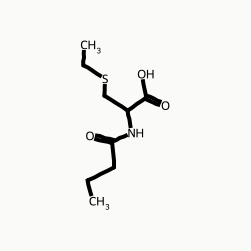 CCCC(=O)NC(CSCC)C(=O)O